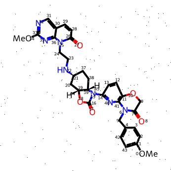 COc1ccc(CN2C(=O)COc3ccc(N4C(=O)O[C@@H]5C[C@@H](NCCn6c(=O)ccc7cnc(OC)nc76)CC[C@@H]54)nc32)cc1